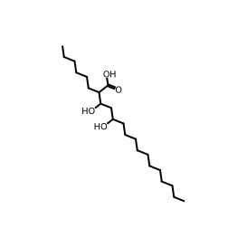 CCCCCCCCCCCC(O)CC(O)C(CCCCCC)C(=O)O